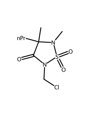 CCCC1(C)C(=O)N(CCl)S(=O)(=O)N1C